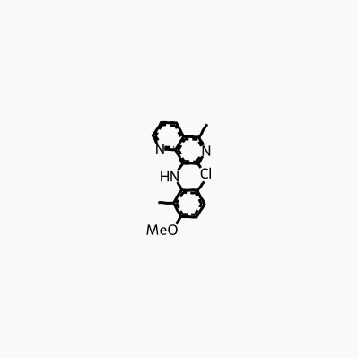 COc1ccc(C)c(Nc2c(Cl)nc(C)c3cccnc23)c1C